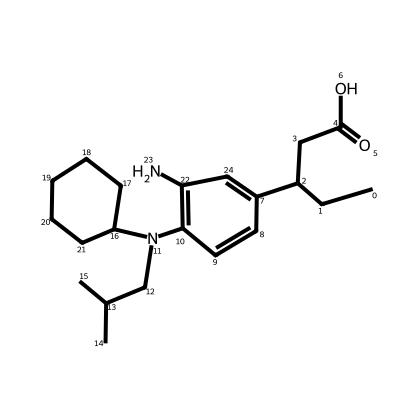 CCC(CC(=O)O)c1ccc(N(CC(C)C)C2CCCCC2)c(N)c1